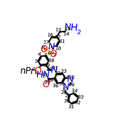 CCCOc1ccc(S(=O)(=O)N2C=CC(CCN)=CC2)cc1-c1nc2cc3ncn(Cc4ccccc4)c3cc2c(=O)[nH]1